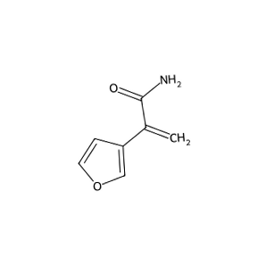 C=C(C(N)=O)c1ccoc1